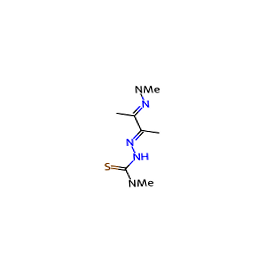 CN/N=C(C)/C(C)=N/NC(=S)NC